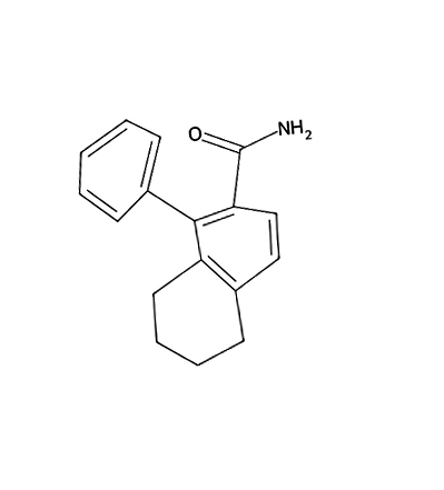 NC(=O)c1ccc2c(c1-c1ccccc1)CCCC2